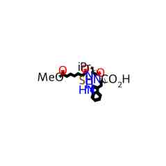 COC(=O)CCCCC(S)C(=O)N[C@@H](CC(C)C)C(=O)N[C@@H](Cc1c[nH]c2ccccc12)C(=O)O